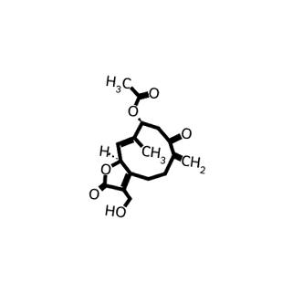 C=C1CCC2=C(CO)C(=O)O[C@H]2/C=C(\C)[C@H](OC(C)=O)CC1=O